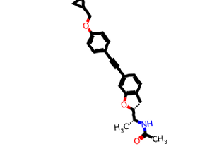 CC(=O)N[C@H](C)[C@H]1Cc2ccc(C#Cc3ccc(OCC4CC4)cc3)cc2O1